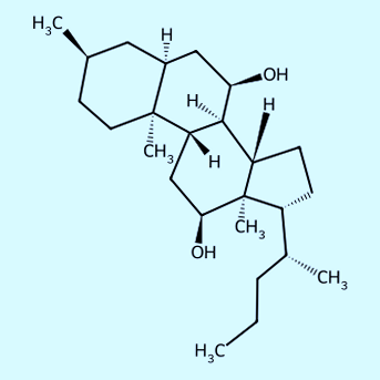 CCC[C@@H](C)[C@H]1CC[C@H]2[C@@H]3[C@H](O)C[C@@H]4C[C@H](C)CC[C@]4(C)[C@H]3C[C@H](O)[C@]12C